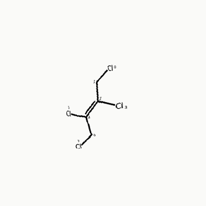 ClCC(Cl)=C(Cl)CCl